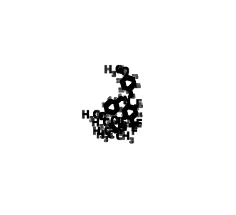 COc1ccc(CN(Cc2ccc(OC)cc2)c2cc(B3OC(C)(C)C(C)(C)O3)c(C(F)(F)F)cc2F)cc1